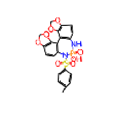 Cc1ccc(S(=O)(=O)N2c3ccc4c(c3-c3c(ccc5c3OCO5)NP2(=O)O)OCO4)cc1